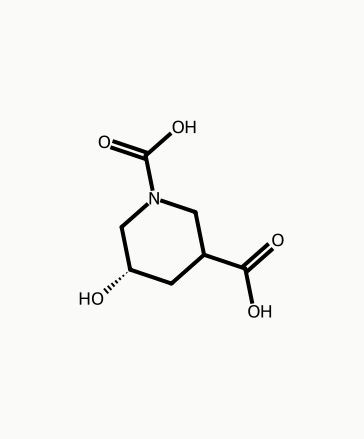 O=C(O)C1C[C@H](O)CN(C(=O)O)C1